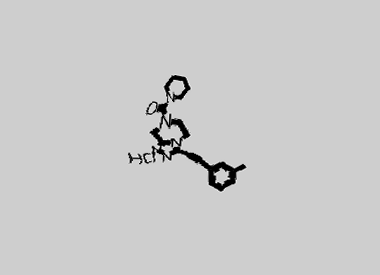 Cc1cccc(C#Cc2nnc3n2CCN(C(=O)N2CCCCC2)C3)c1.Cl